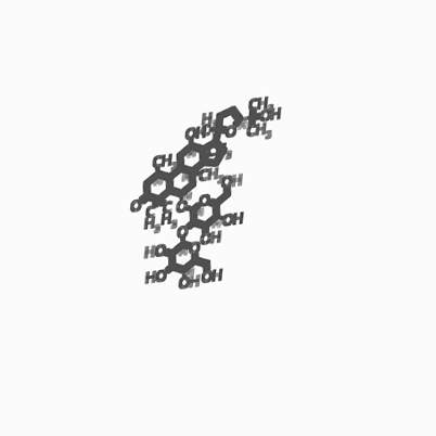 C[C@@H]1CC(=O)C(C)(C)C2C1C1C[C@@H](O)C3C([C@]4(C)CC[C@H](C(C)(C)O)O4)CC[C@@]3(C)[C@]1(C)C[C@@H]2O[C@H]1OC(CO)[C@H](O)C(O)C1O[C@H]1OC(CO)[C@H](O)C(O)C1O